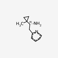 CC1([C@H](N)Cc2ccccn2)CC1